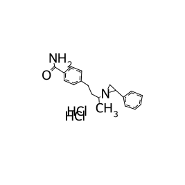 CC(CCc1ccc(C(N)=O)cc1)[N@]1CC1c1ccccc1.Cl.Cl